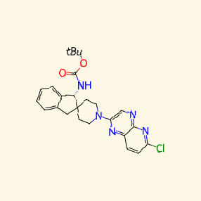 CC(C)(C)OC(=O)N[C@H]1c2ccccc2CC12CCN(c1cnc3nc(Cl)ccc3n1)CC2